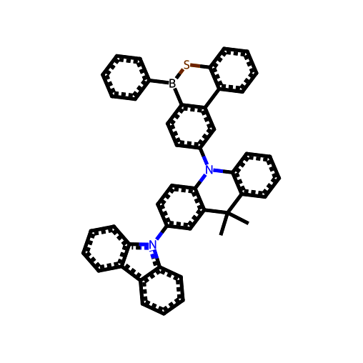 CC1(C)c2ccccc2N(c2ccc3c(c2)-c2ccccc2SB3c2ccccc2)c2ccc(-n3c4ccccc4c4ccccc43)cc21